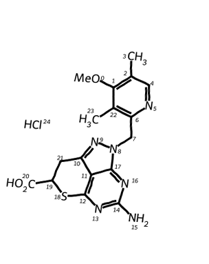 COc1c(C)cnc(Cn2nc3c4c(nc(N)nc42)SC(C(=O)O)C3)c1C.Cl